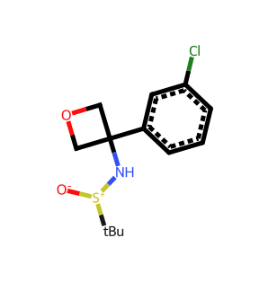 CC(C)(C)[S+]([O-])NC1(c2cccc(Cl)c2)COC1